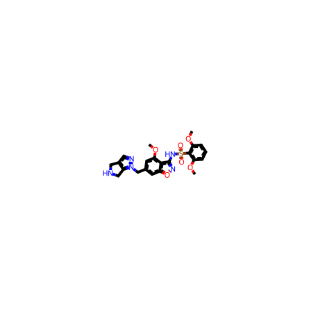 COc1cccc(OC)c1S(=O)(=O)Nc1noc2cc(Cn3ncc4c3CNC4)cc(OC)c12